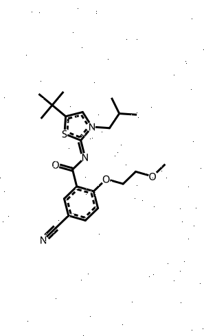 COCCOc1ccc(C#N)cc1C(=O)N=c1sc(C(C)(C)C)cn1CC(C)C